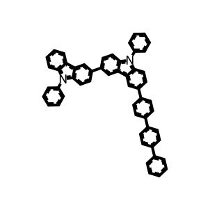 c1ccc(-c2ccc(-c3ccc(-c4ccc5c(c4)c4cc(-c6ccc7c(c6)c6ccccc6n7-c6ccccc6)ccc4n5-c4ccccc4)cc3)cc2)cc1